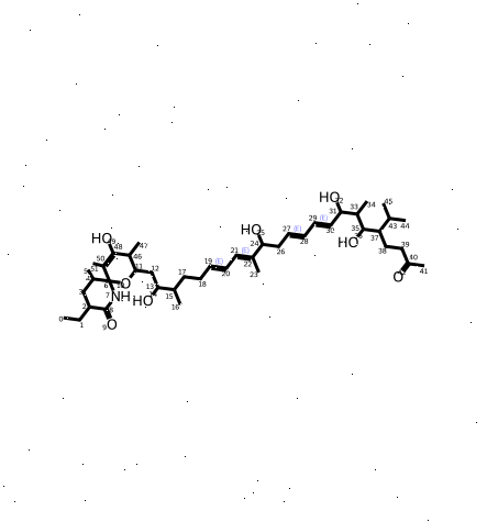 CCC1CC(C)C2(NC1=O)OC(CC(O)C(C)CC/C=C/C=C(\C)C(O)C/C=C/C=C/C(O)C(C)C(O)C(CCC(C)=O)C(C)C)C(C)C(O)=C2C